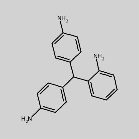 Nc1ccc(C(c2ccc(N)cc2)c2ccccc2N)cc1